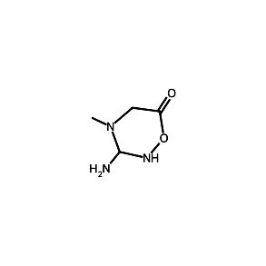 CN1CC(=O)ONC1N